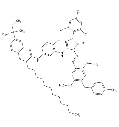 CCCCCCCCCCCCC(Oc1ccc(C(C)(C)CC)cc1)C(=O)Nc1ccc(Cl)c(NC2=NN(c3c(Cl)cc(Cl)cc3Cl)C(=O)C2N=Nc2cc(OC)c(Sc3ccc(C)cc3)cc2OC)c1